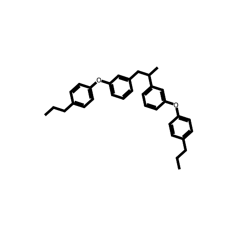 CCCc1ccc(Oc2cccc(CC(C)c3cccc(Oc4ccc(CCC)cc4)c3)c2)cc1